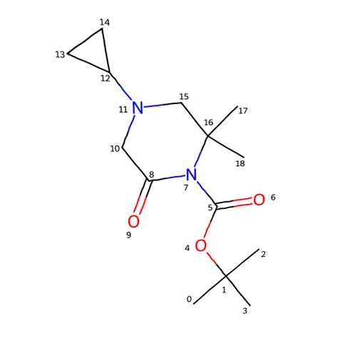 CC(C)(C)OC(=O)N1C(=O)CN(C2CC2)CC1(C)C